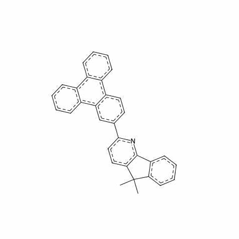 CC1(C)c2ccccc2-c2nc(-c3ccc4c5ccccc5c5ccccc5c4c3)ccc21